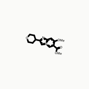 COC(=O)c1cn2cc(C3CCOCC3)nc2cc1OC